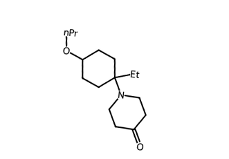 CCCOC1CCC(CC)(N2CCC(=O)CC2)CC1